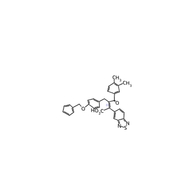 Cc1ccc(C(=O)/C(Cc2ccc(OCc3ccccc3)cc2)=C(/C(=O)O)c2ccc3nsnc3c2)cc1C